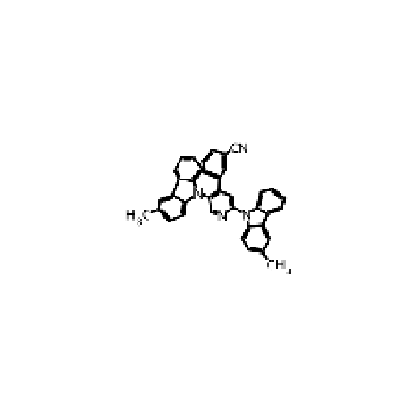 Cc1ccc2c(c1)c1ccccc1n2-c1cc(-c2cccc(C#N)c2)c(-n2c3ccccc3c3cc(C)ccc32)cn1